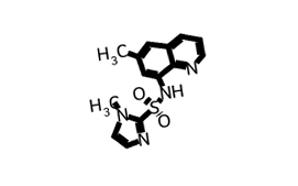 Cc1cc(NS(=O)(=O)c2nccn2C)c2ncccc2c1